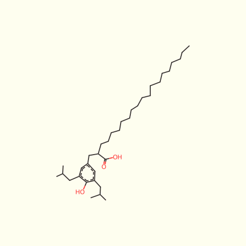 CCCCCCCCCCCCCCCCCCC(Cc1cc(CC(C)C)c(O)c(CC(C)C)c1)C(=O)O